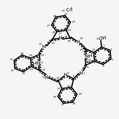 Oc1cccc2c3nc4nc(nc5[nH]c(nc6nc(nc([nH]3)c12)-c1ccccc1-6)c1ccccc51)-c1ccccc1-4.[Cd]